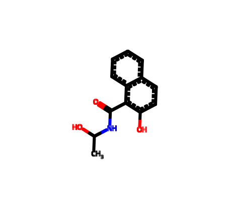 CC(O)NC(=O)c1c(O)ccc2ccccc12